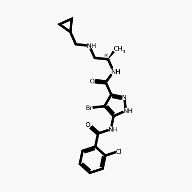 C[C@H](CNCC1CC1)NC(=O)c1n[nH]c(NC(=O)c2ccccc2Cl)c1Br